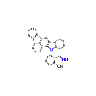 N#Cc1cccc(-n2c3ccccc3c3cc4c5c(cccc5c32)-c2ccccc2-4)c1C=N